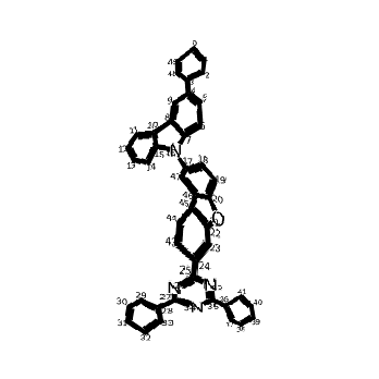 c1ccc(-c2ccc3c(c2)c2ccccc2n3-c2ccc3oc4cc(-c5nc(-c6ccccc6)nc(-c6ccccc6)n5)ccc4c3c2)cc1